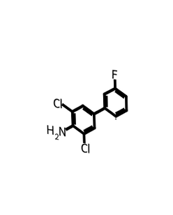 Nc1c(Cl)cc(-c2[c]ccc(F)c2)cc1Cl